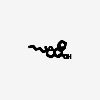 CCCCCC1(C)CCc2cc(O)c3c(c2O1)C1CCC3C1